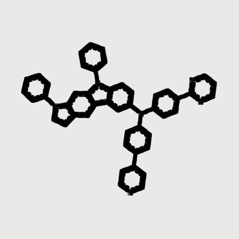 c1ccc(-n2ccc3cc4c5cc(N(c6ccc(-c7ccncc7)cc6)c6ccc(-c7ncccn7)cc6)ccc5n(-c5ccccc5)c4cc32)cc1